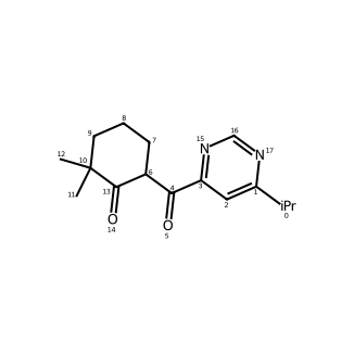 CC(C)c1cc(C(=O)C2CCCC(C)(C)C2=O)ncn1